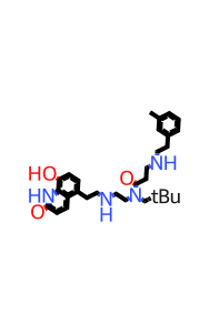 Cc1cccc(CCNCCC(=O)N(CCNCCc2ccc(O)c3[nH]c(=O)ccc23)CC(C)(C)C)c1